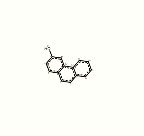 Oc1ccc2ccc3ccccc3c2c1